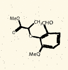 COC(=O)C(C)Oc1c(C=O)cccc1OC